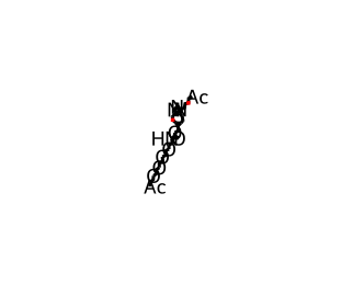 CC(=O)CCCCn1nnc2c1CCC1C(CC2)C1COC(=O)NCCOCCOCCOCCOCCC(C)=O